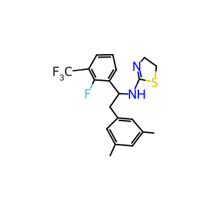 Cc1cc(C)cc(CC(NC2=NCCS2)c2cccc(C(F)(F)F)c2F)c1